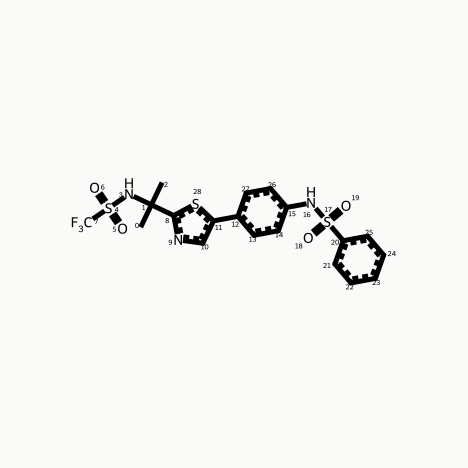 CC(C)(NS(=O)(=O)C(F)(F)F)c1ncc(-c2ccc(NS(=O)(=O)c3ccccc3)cc2)s1